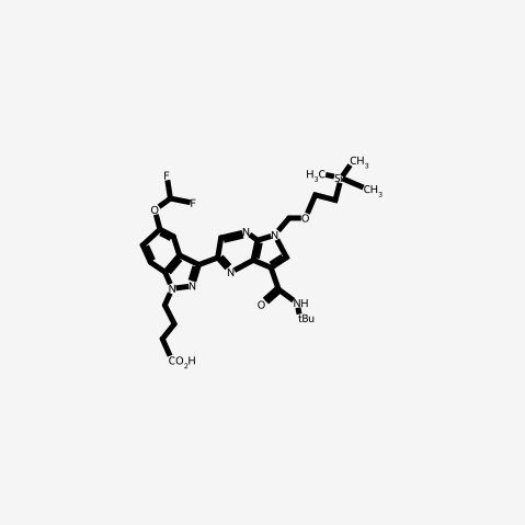 CC(C)(C)NC(=O)c1cn(COCC[Si](C)(C)C)c2ncc(-c3nn(CCCC(=O)O)c4ccc(OC(F)F)cc34)nc12